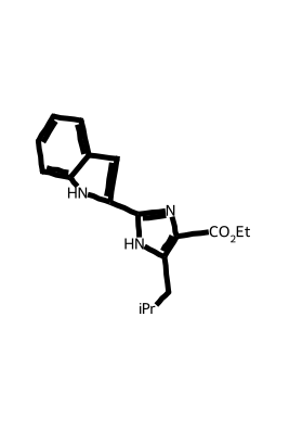 CCOC(=O)c1nc(-c2cc3ccccc3[nH]2)[nH]c1CC(C)C